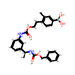 Cc1cc(B(O)O)ccc1CCOC(=O)Nc1cccc([C@H](C)NC(=O)OCc2ccccc2)c1